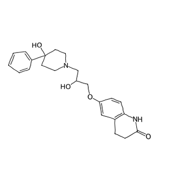 O=C1CCc2cc(OCC(O)CN3CCC(O)(c4ccccc4)CC3)ccc2N1